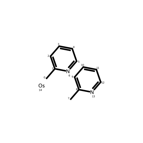 Cc1ccccn1.Cc1ccccn1.[Os]